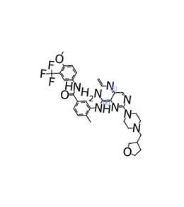 C=C/N=C1/C=NC(N2CCN(CC3CCOC3)CC2)=N/C1=C(/N)Nc1cc(C(=O)Nc2ccc(OC)c(C(F)(F)F)c2)ccc1C